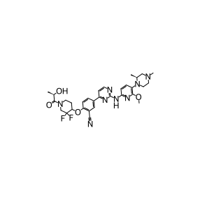 COc1nc(Nc2nccc(-c3ccc(OC4CCN(C(=O)[C@@H](C)O)CC4(F)F)c(C#N)c3)n2)ccc1N1CCN(C)C[C@@H]1C